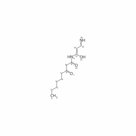 CCCCCCC(=O)CC(=O)N/C(O)=C/C=N